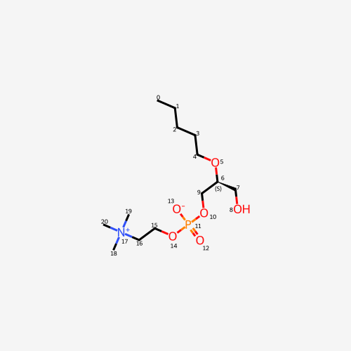 CCCCCO[C@@H](CO)COP(=O)([O-])OCC[N+](C)(C)C